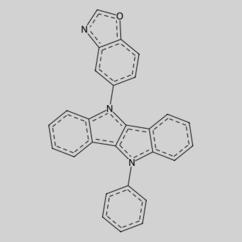 c1ccc(-n2c3ccccc3c3c2c2ccccc2n3-c2ccc3ocnc3c2)cc1